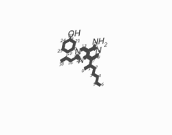 C=C(CCCCC)c1cnc(N)c2cnc(CC(=C)[C@H]3CC[C@H](O)CC3)nc12